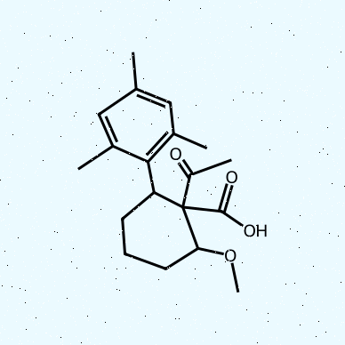 COC1CCCC(c2c(C)cc(C)cc2C)C1(C(C)=O)C(=O)O